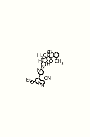 CCOc1cc(-c2ccc(N3C[C@@H]4CC(C)(NC(=O)c5c(C)cccc5Cl)C[C@@H]4C3)nc2)c2c(C#N)cnn2c1